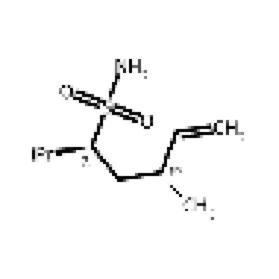 C=C[C@H](C)C[C@@H](C(C)C)S(N)(=O)=O